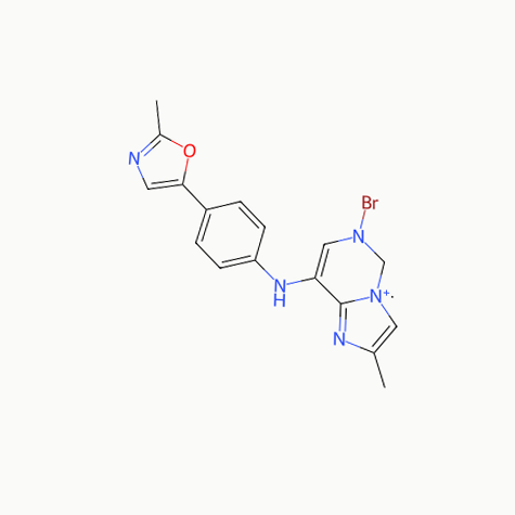 CC1=C[N+]2CN(Br)C=C(Nc3ccc(-c4cnc(C)o4)cc3)C2=N1